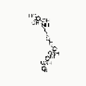 O=C(Nc1cccc(COCCOCCCCCCNC[C@H](O)c2ccc(O)c(CO)c2)c1)Nc1cccc(NC(=O)c2cccnc2)c1